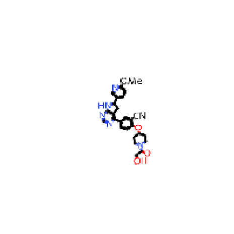 COc1ccc(C2Cc3c(ncnc3-c3ccc(OC4CCN(C(=O)CO)CC4)c(C#N)c3)N2)cn1